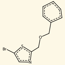 Brc1cnc(COCc2ccccc2)s1